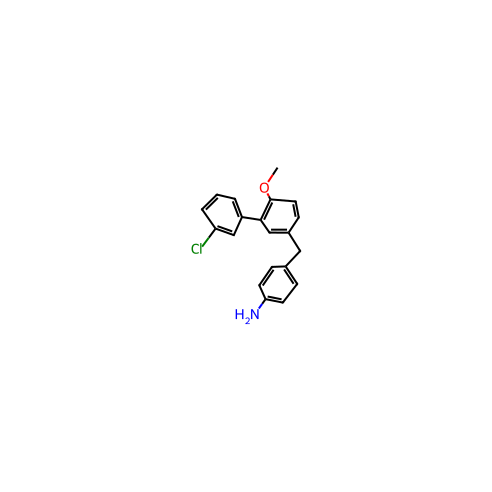 COc1ccc(Cc2ccc(N)cc2)cc1-c1cccc(Cl)c1